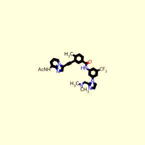 CC(=O)Nc1cccn2c(C#Cc3cc(C(=O)Nc4cc(-n5ccnc5CN(C)C)cc(C(F)(F)F)c4)ccc3C)cnc12